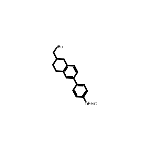 CCCCCc1ccc(-c2ccc3c(c2)CCC(CC(C)CC)C3)cc1